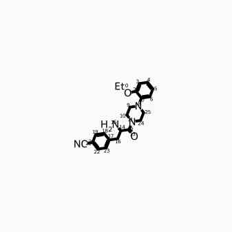 CCOc1ccccc1N1CCN(C(=O)C(N)Cc2ccc(C#N)cc2)CC1